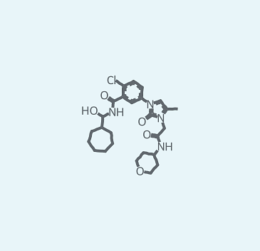 Cc1cn(-c2ccc(Cl)c(C(=O)NC(O)C3CCCCCC3)c2)c(=O)n1CC(=O)NC1CCOCC1